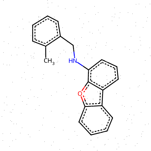 Cc1ccccc1CNc1cccc2c1oc1ccccc12